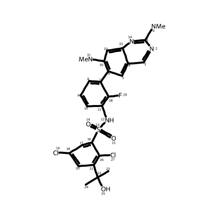 CNc1ncc2cc(-c3cccc(NS(=O)(=O)c4cc(Cl)cc(C(C)(C)O)c4Cl)c3F)c(NC)cc2n1